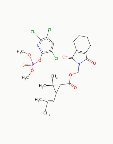 CC(C)=CC1C(C(=O)OCN2C(=O)C3=C(CCCC3)C2=O)C1(C)C.COP(=S)(OC)Oc1nc(Cl)c(Cl)cc1Cl